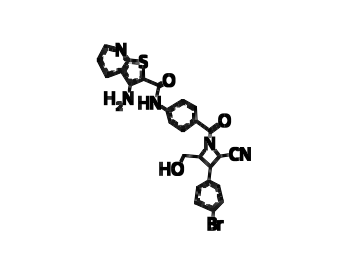 N#CC1C(c2ccc(Br)cc2)C(CO)N1C(=O)c1ccc(NC(=O)c2sc3ncccc3c2N)cc1